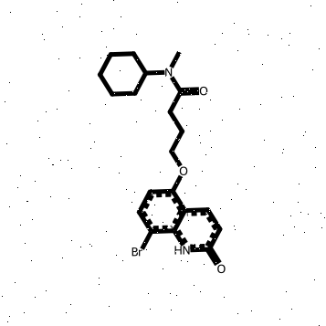 CN(C(=O)CCCOc1ccc(Br)c2[nH]c(=O)ccc12)C1CCCCC1